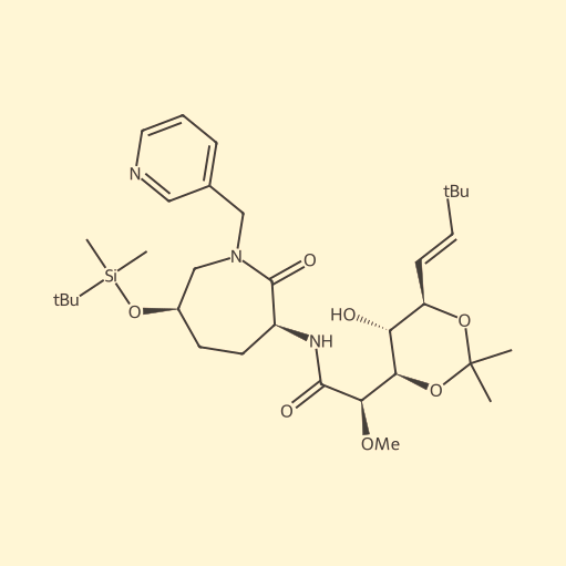 CO[C@@H](C(=O)N[C@H]1CC[C@@H](O[Si](C)(C)C(C)(C)C)CN(Cc2cccnc2)C1=O)[C@@H]1OC(C)(C)O[C@H](/C=C/C(C)(C)C)[C@H]1O